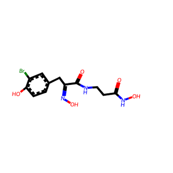 O=C(CCNC(=O)C(Cc1ccc(O)c(Br)c1)=NO)NO